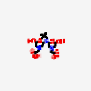 CC(C)(C)CN(CCN(CC(=O)O)CC(=O)O)CCN(CC(=O)O)CC(=O)O